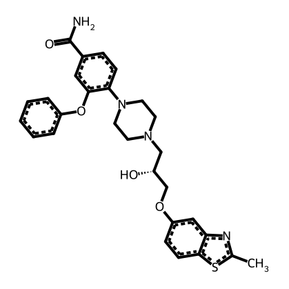 Cc1nc2cc(OC[C@H](O)CN3CCN(c4ccc(C(N)=O)cc4Oc4ccccc4)CC3)ccc2s1